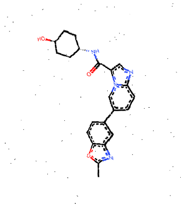 Cc1nc2cc(-c3ccc4ncc(C(=O)N[C@H]5CC[C@H](O)CC5)n4c3)ccc2o1